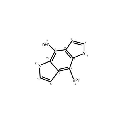 CCCc1c2ccsc2c(CCC)c2ccsc12